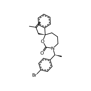 C=C(C)C[C@@]1(c2ccccc2)CCCN([C@@H](C)c2ccc(Br)cc2)C(=O)O1